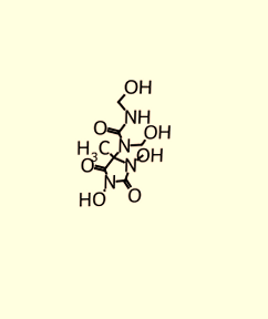 CC1(N(CO)C(=O)NCO)C(=O)N(O)C(=O)N1O